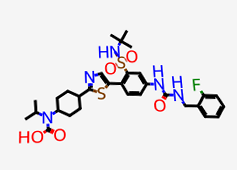 CC(C)N(C(=O)O)C1CCC(c2ncc(-c3ccc(NC(=O)NCc4ccccc4F)cc3S(=O)(=O)NC(C)(C)C)s2)CC1